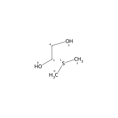 CSC.OCCO